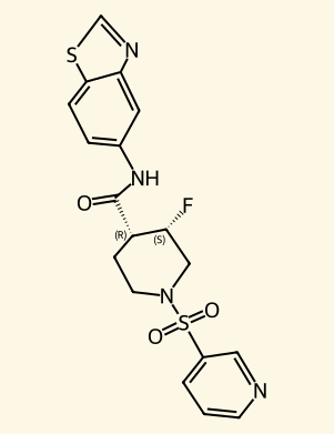 O=C(Nc1ccc2scnc2c1)[C@H]1CCN(S(=O)(=O)c2cccnc2)C[C@H]1F